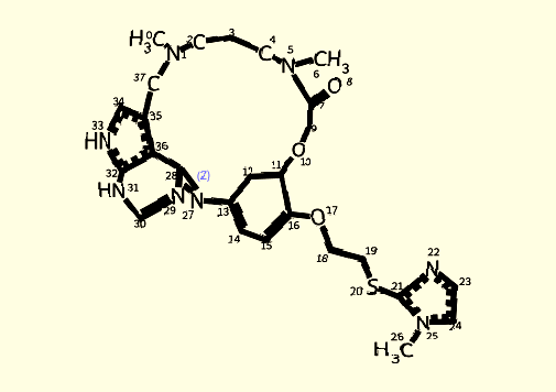 CN1CCCN(C)C(=O)COC2CC(=CC=C2OCCSc2nccn2C)/N=C2\N=CNc3[nH]cc(c32)C1